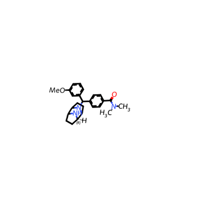 COc1cccc(C(c2ccc(C(=O)N(C)C)cc2)N2C3CCC2[C@H]2CCC3N2)c1